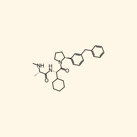 CN[C@@H](C)C(=O)N[C@H](C(=O)N1CCC[C@H]1c1cccc(Cc2ccccc2)c1)C1CCCCC1